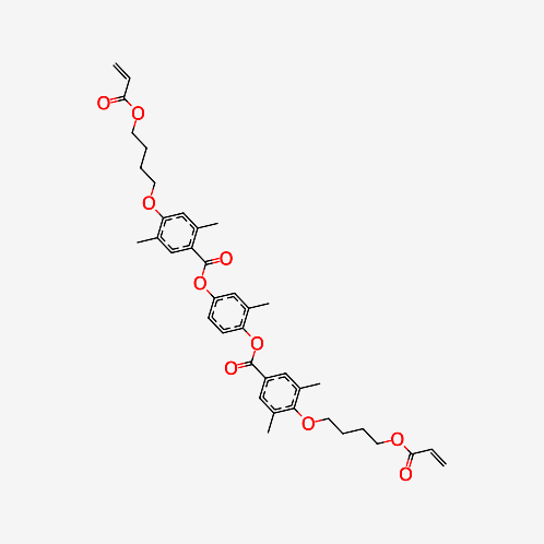 C=CC(=O)OCCCCOc1cc(C)c(C(=O)Oc2ccc(OC(=O)c3cc(C)c(OCCCCOC(=O)C=C)c(C)c3)c(C)c2)cc1C